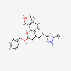 CCn1cc(CCC(CC(=O)OCc2ccccc2)c2ccc(C)c(CO)c2)nn1